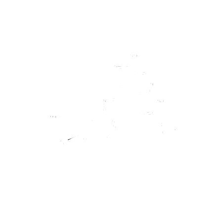 CNc1ncc(-c2nc3cc(O[C@@H](C)COC)ccc3o2)c2cc(NC(=O)C3CC3)ncc12